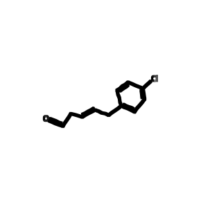 O=CC/C=C/Cc1ccc(Cl)cc1